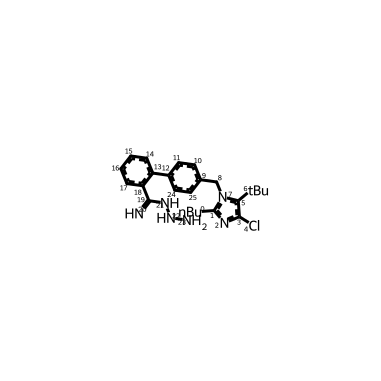 CCCCc1nc(Cl)c(C(C)(C)C)n1Cc1ccc(-c2ccccc2C(=N)NNN)cc1